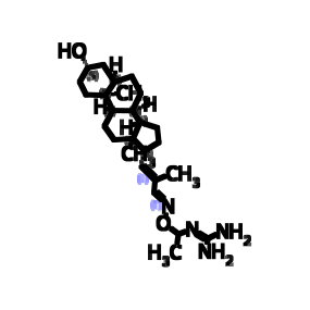 CC(/C=N/OC(C)N=C(N)N)=C\[C@H]1CC[C@H]2[C@@H]3CC[C@@H]4C[C@@H](O)CC[C@]4(C)[C@H]3CC[C@]12C